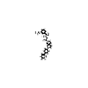 O=C(NCC(=O)N1CCC2(CCN(C3CCC(c4ccccn4)CC3)C2)C1)c1cccc(C(F)(F)F)c1